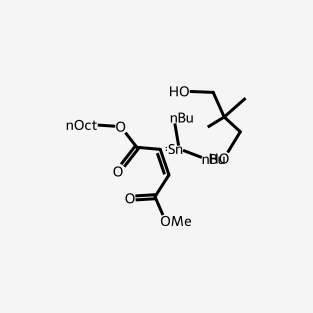 CC(C)(CO)CO.CCCCCCCCOC(=O)/C=C\C(=O)OC.CCC[CH2][Sn][CH2]CCC